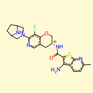 Cc1ccc2c(N)c(C(=O)N[C@H]3COc4c(cnc(N5CC6CCC(C5)N6)c4F)C3)sc2n1